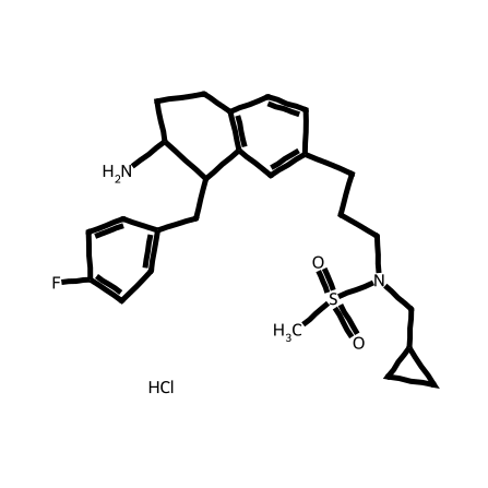 CS(=O)(=O)N(CCCc1ccc2c(c1)C(Cc1ccc(F)cc1)C(N)CC2)CC1CC1.Cl